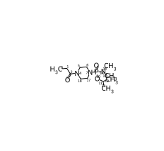 CCC(=O)N1CCN(P(=O)(OC(C)C)N(C)C)CC1